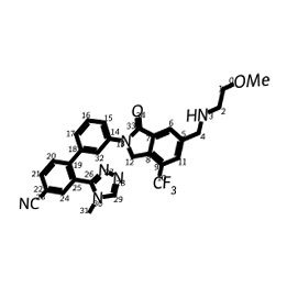 COCCNCc1cc2c(c(C(F)(F)F)c1)CN(c1cccc(-c3ccc(C#N)cc3-c3nncn3C)c1)C2=O